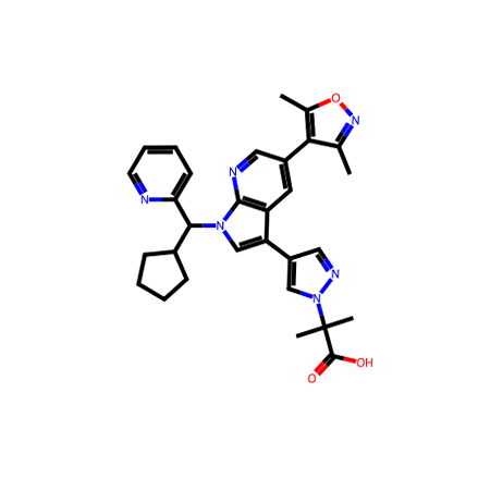 Cc1noc(C)c1-c1cnc2c(c1)c(-c1cnn(C(C)(C)C(=O)O)c1)cn2C(c1ccccn1)C1CCCC1